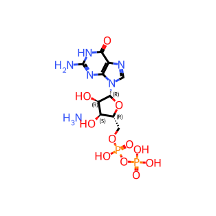 N.Nc1nc2c(ncn2[C@@H]2O[C@H](COP(=O)(O)OP(=O)(O)O)[C@@H](O)[C@H]2O)c(=O)[nH]1